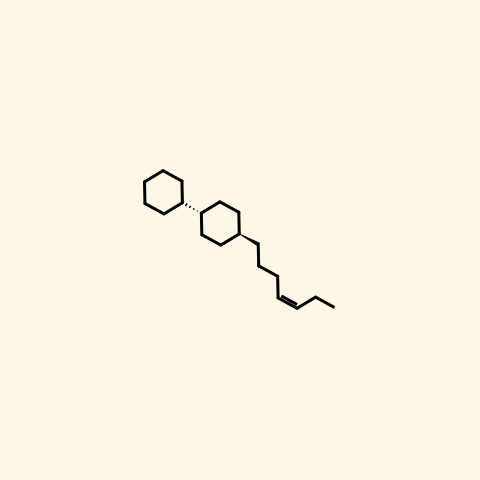 CC/C=C\CCC[C@H]1CC[C@H](C2CCCCC2)CC1